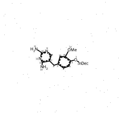 CCCCCCCCCCOc1ccc(Cc2cnc(N)nc2N)cc1OC